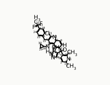 Cc1ccc(C(O)(c2ccc3nc(Cl)c(Cc4ccc(C(C)(F)F)cc4)c(NC4CC4)c3c2)c2cnnn2C)c(C)n1